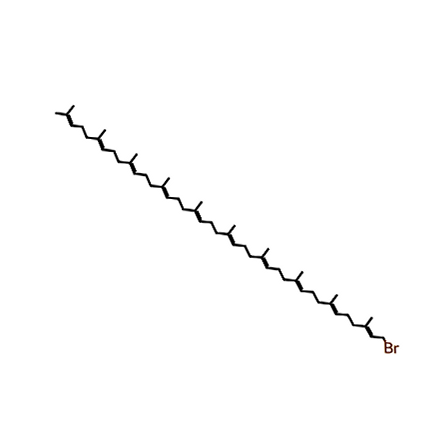 CC(C)=CCC/C(C)=C/CC/C(C)=C/CC/C(C)=C/CC/C(C)=C/CC/C(C)=C/CC/C(C)=C/CC/C(C)=C/CC/C(C)=C/CC/C(C)=C/CBr